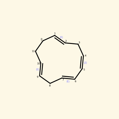 [CH]1/C=C/C/C=C\C=C\C/C=C/C1